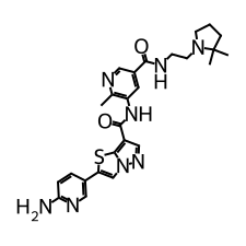 Cc1ncc(C(=O)NCCN2CCCC2(C)C)cc1NC(=O)c1cnn2cc(-c3ccc(N)nc3)sc12